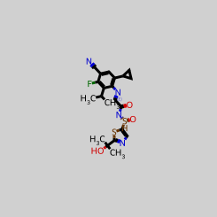 CC(C)c1c(F)c(C#N)cc(C2CC2)c1/N=C/C(=O)N=[SH](=O)c1cnc(C(C)(C)O)s1